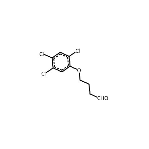 O=[C]CCCOc1cc(Cl)c(Cl)cc1Cl